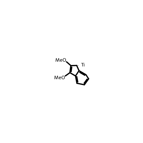 COC1=C(OC)c2ccccc2[CH]1.[Ti]